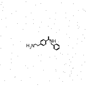 C=C(NCc1ccccc1)c1ccc(CCN)cc1